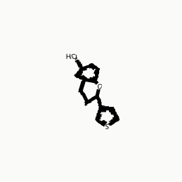 Oc1ccc2c(c1)CCC(c1ccsc1)O2